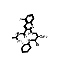 CC[C@@H](NC1CCCCC1)[C@H](CNc1nc2cccc(F)c2cc1C(=O)NC(C)N)OC